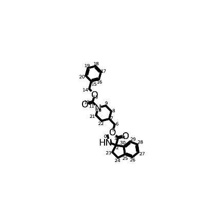 CNC1(C(=O)OCC2CCN(C(=O)OCc3ccccc3)CC2)CCc2ccccc21